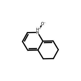 [O-][NH+]1C=CC=C2CCCC=C21